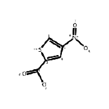 O=C(Cl)c1cc([N+](=O)[O-])cs1